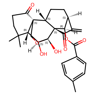 C=C1C(=O)[C@]23[C@H](OC(=O)c4ccc(C)cc4)[C@H]1CC[C@H]2[C@@]12CO[C@]3(O)[C@@H](O)[C@@H]1C(C)(C)CCC2=O